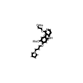 COCCOc1nccc2[nH]c3cc(OCCCN4CCCC4)c(OC)cc3c12